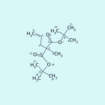 C=CCC(C)(C(=O)OC(C)(C)C)C(=O)OC(C)(C)C